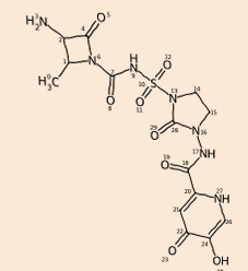 CC1C(N)C(=O)N1C(=O)NS(=O)(=O)N1CCN(NC(=O)c2cc(=O)c(O)c[nH]2)C1=O